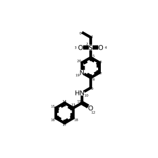 CCS(=O)(=O)c1ccc(CNC(=O)c2ccccc2)nc1